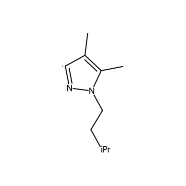 Cc1[c]nn(CCC(C)C)c1C